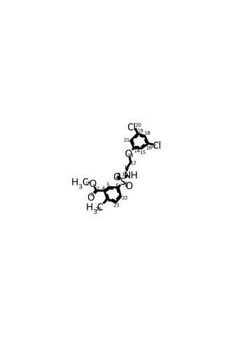 COC(=O)c1cc(S(=O)(=O)NCCOc2cc(Cl)cc(Cl)c2)ccc1C